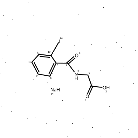 O=C(O)CNC(=O)c1ccccc1I.[NaH]